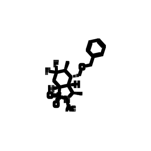 CC(=O)N1[C@H](C)[C@H]2[C@@H](COCc3ccccc3)[C@H](C)C(F)(F)C[C@H]2S1(=O)=O